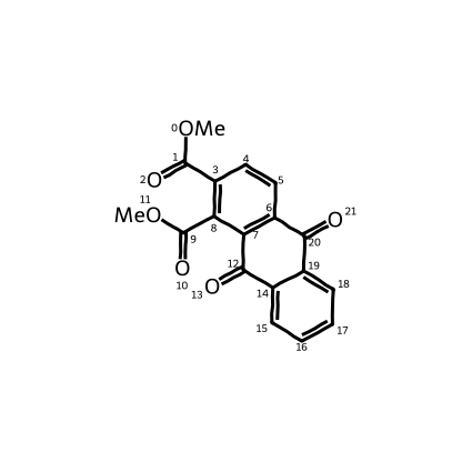 COC(=O)c1ccc2c(c1C(=O)OC)C(=O)c1ccccc1C2=O